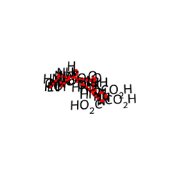 CCC(=O)NCCNC(=O)/N=C(/N)NCCCC(NC(=O)[C@H](c1ccccc1)c1cccc(OCCCCNc2c(NCCNC(=O)C(CCCCNC(=O)OC(C)(C)C)NC(=O)CN3CCN(CC(=O)O)CCN(CC(=O)O)CCN(CC(=O)O)CC3)c(=O)c2=O)c1)C(=O)NCc1ccc(O)cc1